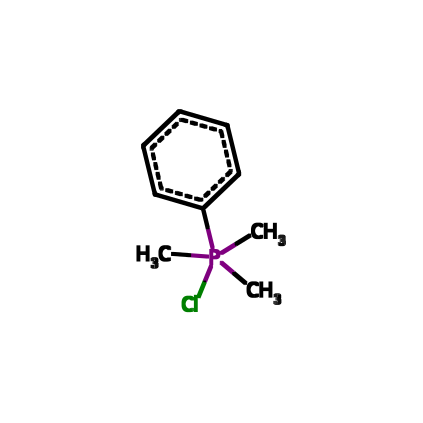 CP(C)(C)(Cl)c1ccccc1